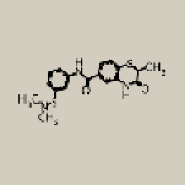 CC1Sc2ccc(C(=O)Nc3cccc(SN(C)C)c3)cc2NC1=O